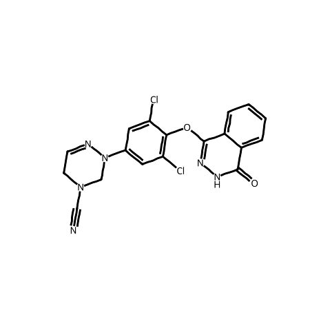 N#CN1CC=NN(c2cc(Cl)c(Oc3n[nH]c(=O)c4ccccc34)c(Cl)c2)C1